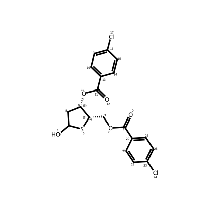 O=C(OC[C@@H]1SC(O)C[C@@H]1OC(=O)c1ccc(Cl)cc1)c1ccc(Cl)cc1